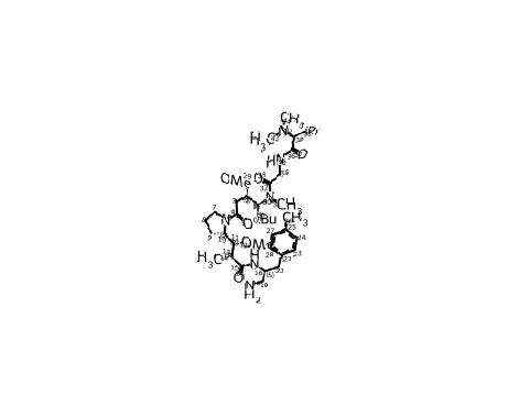 CC[C@H](C)[C@@H]([C@@H](CC(=O)N1CCC[C@H]1[C@H](OC)[C@@H](C)C(=O)N[C@H](CN)Cc1ccc(C)cc1)OC)N(C)C(=O)CNC(=O)C(C(C)C)N(C)C